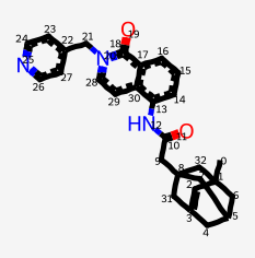 CC12C=C3CC(C1)CC(CC(=O)Nc1cccc4c(=O)n(Cc5ccncc5)ccc14)(C3)C2